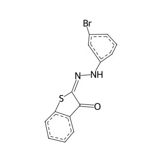 O=C1/C(=N\Nc2cccc(Br)c2)Sc2ccccc21